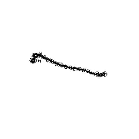 O=C(CCOCCOCCOCCOCCOCCOCCOCCOCCOCCOCCOCCOCCNC(=O)c1cccc(C2OCCO2)c1)Oc1ccc([N+](=O)[O-])cc1